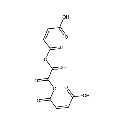 O=C(O)/C=C\C(=O)OC(=O)C(=O)OC(=O)/C=C\C(=O)O